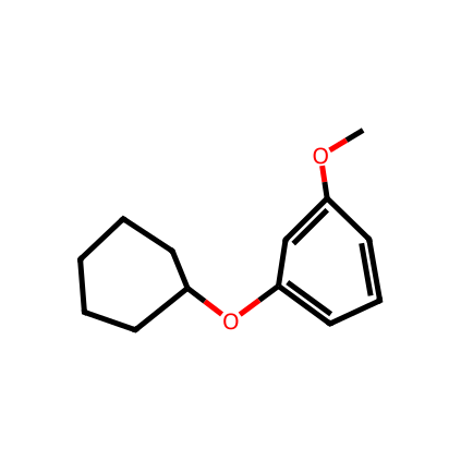 COc1cccc(OC2CCCCC2)c1